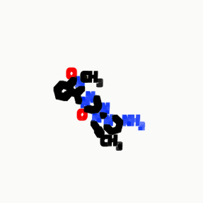 CC#CCn1c(N2CCC[C@@H](N)C2)nc2cnn(Cc3cn(C)c(=O)c4ccccc34)c(=O)c21